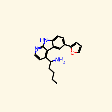 CCCCC(N)c1ccnc2[nH]c3ccc(-c4ccco4)cc3c12